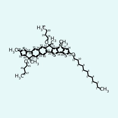 CCCCCCCCCCCCOc1cc2c(s1)c1sc3c(c1n2C)C(C)(OCCCC)c1cc2cc4c(cc2cc1-3)C(C)(OCCCC)c1cc(C)sc1-4